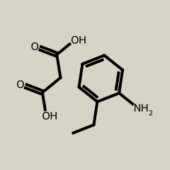 CCc1ccccc1N.O=C(O)CC(=O)O